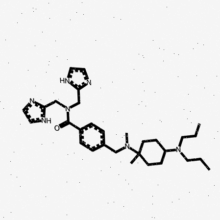 CCCN(CCC)C1CCC(C)(N(C)Cc2ccc(C(=O)N(Cc3ncc[nH]3)Cc3ncc[nH]3)cc2)CC1